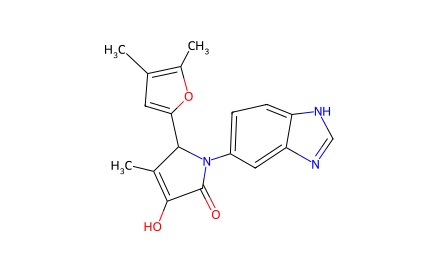 CC1=C(O)C(=O)N(c2ccc3[nH]cnc3c2)C1c1cc(C)c(C)o1